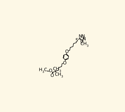 CCOC(=O)C(C)(C)CCCCOc1ccc(OCCCCCSc2nnnn2C)cc1